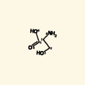 NCCO.O=CO